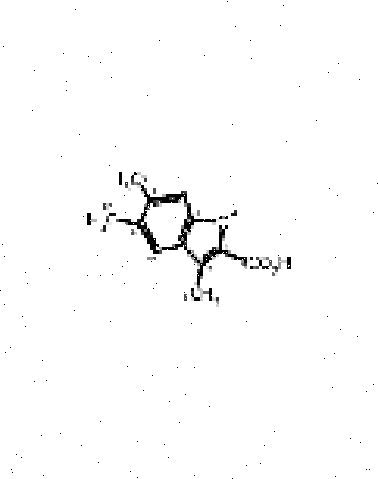 Cc1cc2oc(C(=O)O)c(C)c2cc1C